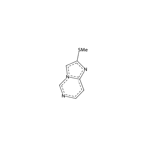 CSc1cn2cnccc2n1